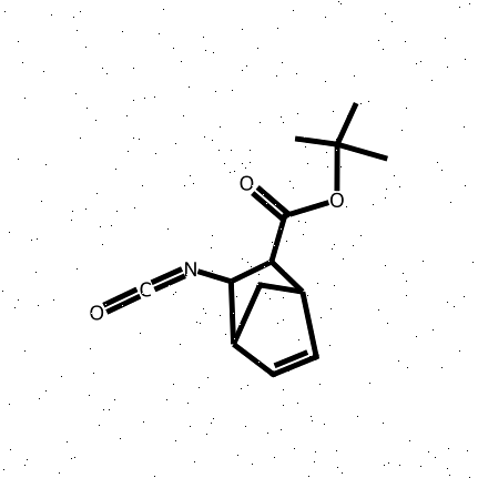 CC(C)(C)OC(=O)C1C2C=CC(C2)C1N=C=O